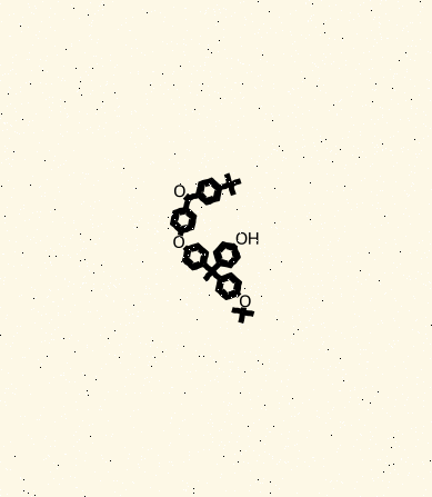 CC(C)(C)Oc1ccc(C(C)(c2ccc(O)cc2)c2ccc(Oc3ccc(C(=O)c4ccc(C(C)(C)C)cc4)cc3)cc2)cc1